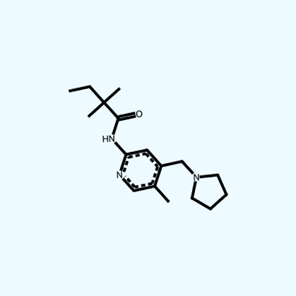 CCC(C)(C)C(=O)Nc1cc(CN2CCCC2)c(C)cn1